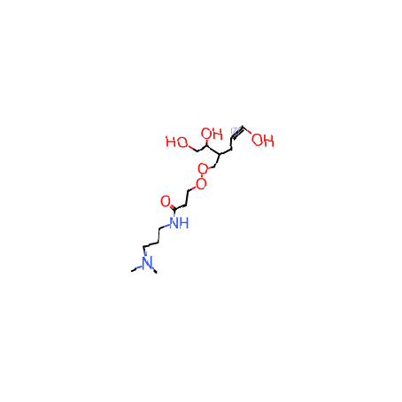 CN(C)CCCNC(=O)CCOOCC(C/C=C\O)C(O)CO